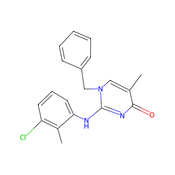 Cc1c(Cl)cccc1Nc1nc(=O)c(C)cn1Cc1ccccc1